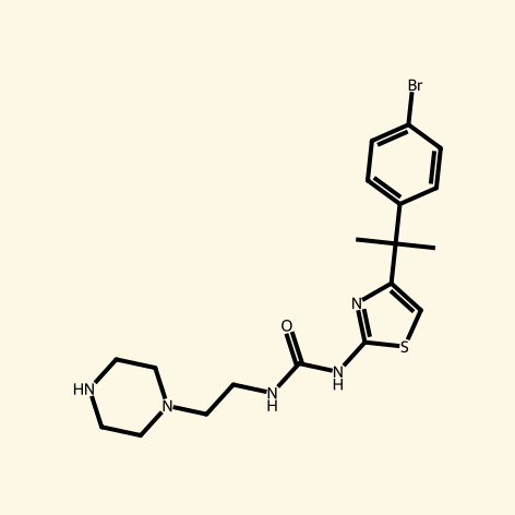 CC(C)(c1ccc(Br)cc1)c1csc(NC(=O)NCCN2CCNCC2)n1